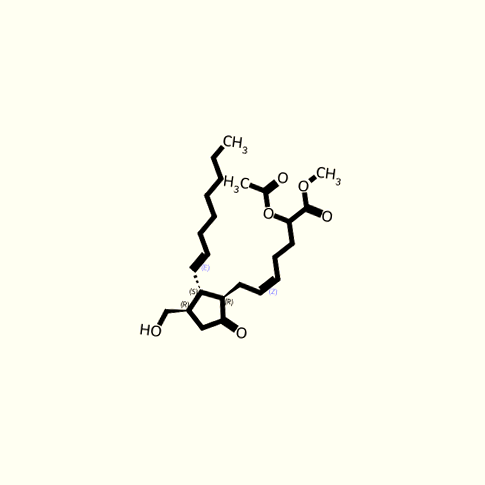 CCCCCC/C=C/[C@H]1[C@H](CO)CC(=O)[C@@H]1C/C=C\CCC(OC(C)=O)C(=O)OC